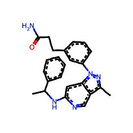 Cc1nn(-c2cccc(CCC(N)=O)c2)c2cc(NC(C)c3ccccc3)ncc12